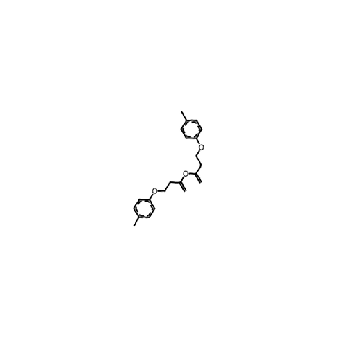 C=C(CCOc1ccc(C)cc1)OC(=C)CCOc1ccc(C)cc1